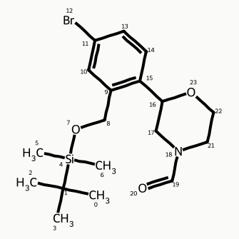 CC(C)(C)[Si](C)(C)OCc1cc(Br)ccc1C1CN(C=O)CCO1